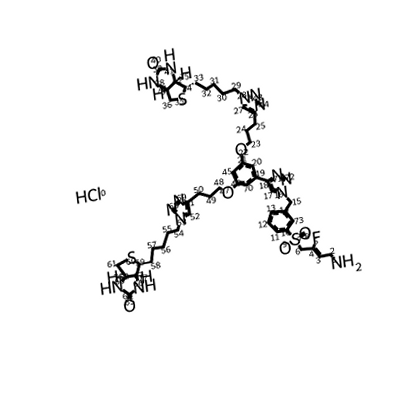 Cl.NC/C=C(\F)CS(=O)(=O)c1cccc(Cn2cc(-c3cc(OCCCc4cn(CCCCC[C@@H]5SC[C@@H]6NC(=O)N[C@@H]65)nn4)cc(OCCCc4cn(CCCCC[C@@H]5SC[C@@H]6NC(=O)N[C@@H]65)nn4)c3)nn2)c1